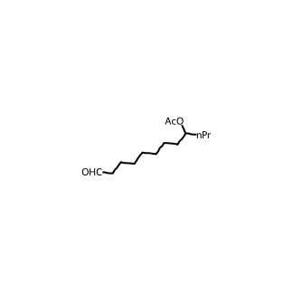 CCCC(CCCCCCCC=O)OC(C)=O